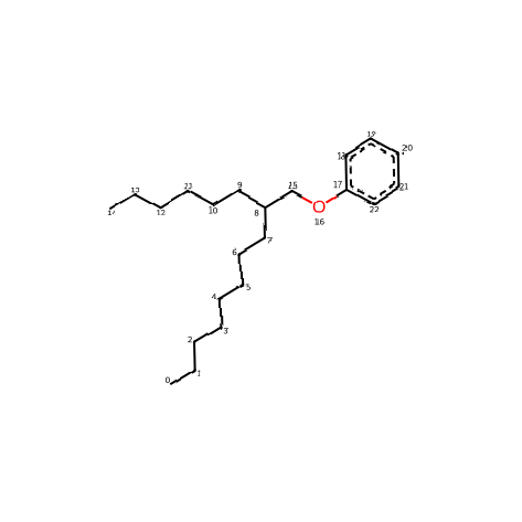 CCCCCCCCC(CCCCCC)COc1cc[c]cc1